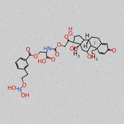 C[C@]12C=CC(=O)C=C1CC[C@H]1[C@@H]3C[C@@H](O)[C@](O)(C(=O)COC(=O)NC(COC(=O)c4cccc(CCON(O)O)c4)C(=O)O)[C@@]3(C)C[C@H](O)[C@@]12F